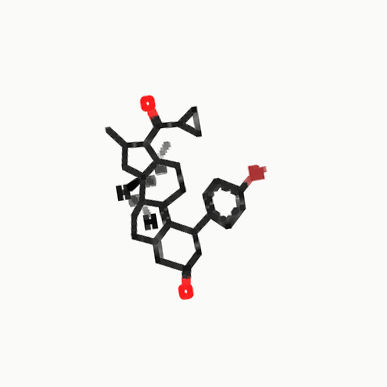 CC1C[C@H]2[C@@H]3CCC4=CC(=O)CC(c5ccc(Br)cc5)C4=C3CC[C@]2(C)C1C(=O)C1CC1